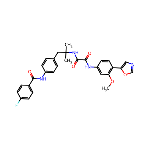 COc1cc(NC(=O)C(=O)NC(C)(C)Cc2ccc(NC(=O)c3ccc(F)cc3)cc2)ccc1-c1cnco1